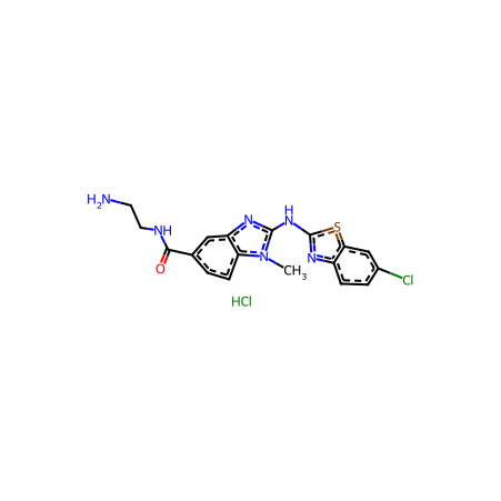 Cl.Cn1c(Nc2nc3ccc(Cl)cc3s2)nc2cc(C(=O)NCCN)ccc21